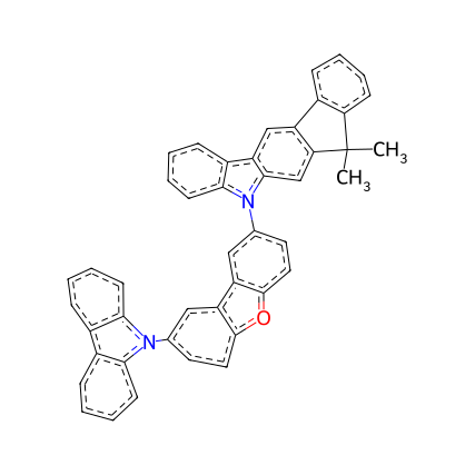 CC1(C)c2ccccc2-c2cc3c4ccccc4n(-c4ccc5oc6ccc(-n7c8ccccc8c8ccccc87)cc6c5c4)c3cc21